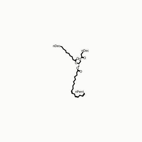 CCCCC/C=C\C/C=C\C/C=C\CCCCCCCCC(=O)OC[C@@H](COC(=O)CCCCCCCCCCCC)OC(=O)CCCCCCCCCCCCCCCCCC